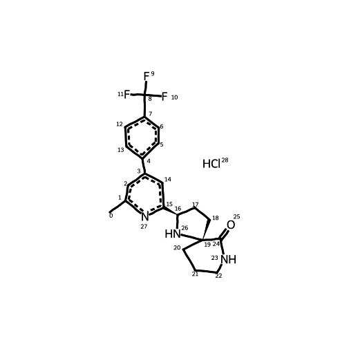 Cc1cc(-c2ccc(C(F)(F)F)cc2)cc([C@H]2CC[C@@]3(CCCNC3=O)N2)n1.Cl